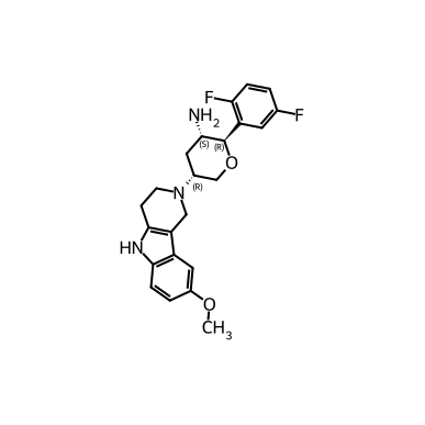 COc1ccc2[nH]c3c(c2c1)CN([C@H]1CO[C@H](c2cc(F)ccc2F)[C@@H](N)C1)CC3